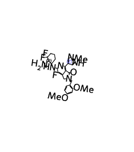 CN/C=C(\C=N)c1nc(NC2CCCC(F)(F)[C@@H]2N)c(F)c2c1C(=O)N(Cc1ccc(OC)cc1OC)C2